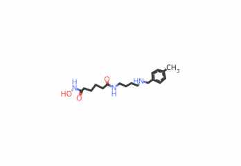 Cc1ccc(CNCCCCNC(=O)CCCCC(=O)NO)cc1